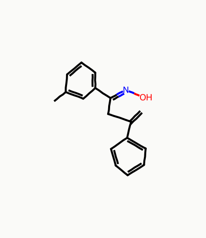 C=C(CC(=NO)c1cccc(C)c1)c1ccccc1